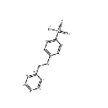 O=S(=O)(Cl)c1ccc(CCc2ccccc2)cc1